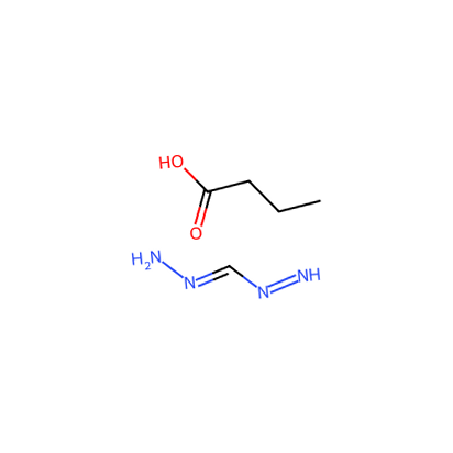 CCCC(=O)O.N=NC=NN